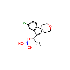 CC(ON(O)O)C1=CC2(CCOCC2)c2ccc(Br)cc21